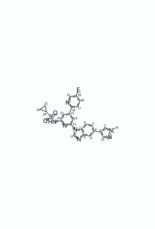 Cn1cc(-c2ccc3c(c2)ncn3-c2cc(-c3ccc(F)cn3)cc(NS(=O)(=O)C3CC3)n2)cn1